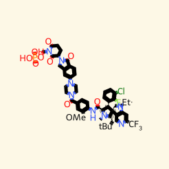 C[CH]N1C[C@]2(c3cnc(C(F)(F)F)cc31)[C@H](CC(C)(C)C)N(C)[C@@H](C(=O)Nc1ccc(C(=O)N3CCN(c4ccc5c(c4)CN(C4CCC(=O)N(COP(=O)(O)O)C4=O)C5=O)CC3)cc1OC)[C@@H]2c1cccc(Cl)c1F